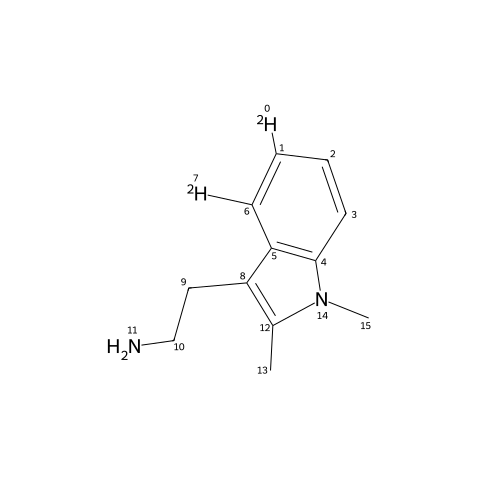 [2H]c1ccc2c(c1[2H])c(CCN)c(C)n2C